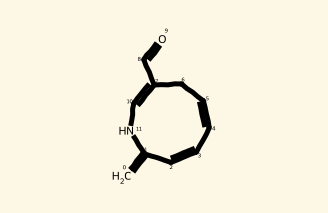 C=C1/C=C\C=C/C/C(C=O)=C\N1